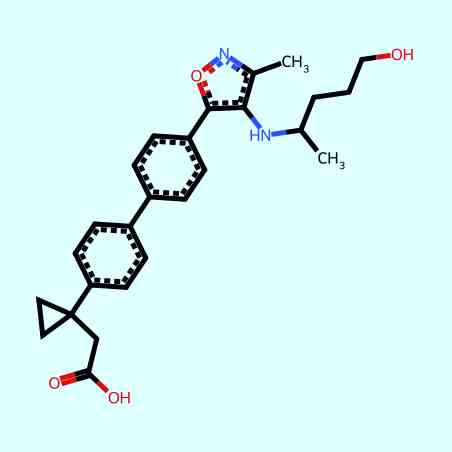 Cc1noc(-c2ccc(-c3ccc(C4(CC(=O)O)CC4)cc3)cc2)c1NC(C)CCCO